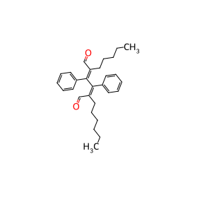 CCCCCCC(C=O)=C(C(=C(C=O)CCCCC)c1ccccc1)c1ccccc1